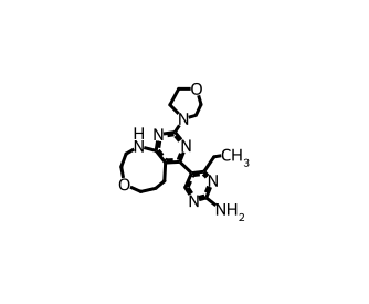 CCc1nc(N)ncc1-c1nc(N2CCOCC2)nc2c1CCCOCCN2